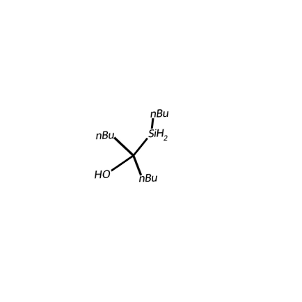 CCCC[SiH2]C(O)(CCCC)CCCC